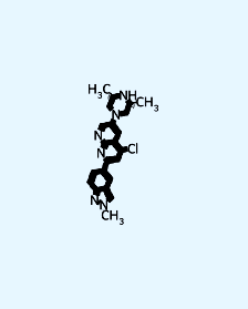 C[C@@H]1CN(c2cnc3nc(-c4ccc5nn(C)cc5c4)cc(Cl)c3c2)C[C@H](C)N1